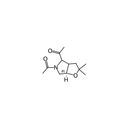 CC(=O)C1C2CC(C)(C)O[C@H]2CN1C(C)=O